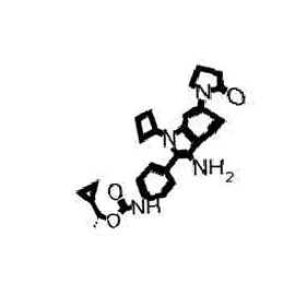 C[C@@H](OC(=O)Nc1ccc(-c2c(N)c3ccc(N4CCCC4=O)cc3n2C2CCC2)cc1)C1CC1